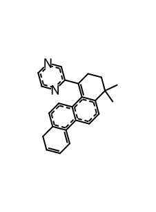 CC1(C)CCC(c2cnccn2)=c2c1ccc1c3c(ccc21)CC=CC=3